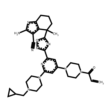 C=CC(=O)N1CCN(c2cc(-c3noc(C4(C)CCCc5sc(N)c(C#N)c54)n3)nc(N3CCN(CC4CC4)CC3)c2)CC1